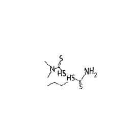 CCCC.CN(C)C(=S)S.NC(=S)S